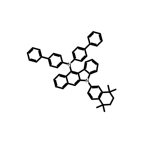 CC1(C)CCC(C)(C)c2cc(-n3c4ccccc4c4c(N(c5ccc(-c6ccccc6)cc5)c5ccc(-c6ccccc6)cc5)c5ccccc5cc43)ccc21